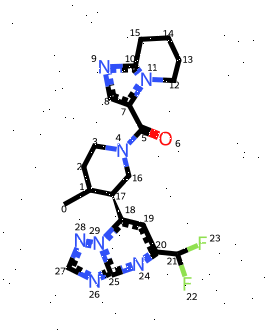 CC1CCN(C(=O)c2cnc3n2CCCC3)C[C@H]1c1cc(C(F)F)nc2ncnn12